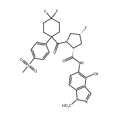 CS(=O)(=O)c1ccc(C2(C(=O)N3C[C@H](F)C[C@@H]3C(=O)Nc3ccc4c(cnn4C(=O)O)c3C#N)CCC(F)(F)CC2)cc1